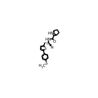 CSc1ccc(-c2ccc(C[C@@H](C#N)NC(=O)C3NC4CCC3C4)s2)cc1